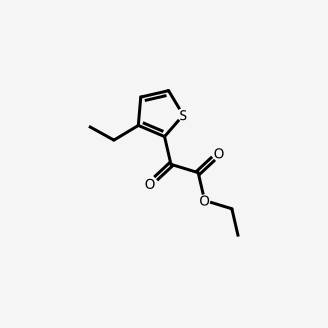 CCOC(=O)C(=O)c1sccc1CC